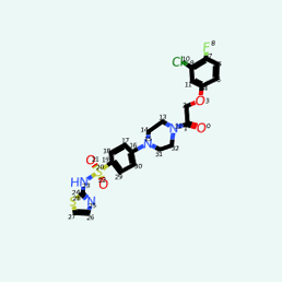 O=C(COc1ccc(F)c(Cl)c1)N1CCN(c2ccc(S(=O)(=O)Nc3nccs3)cc2)CC1